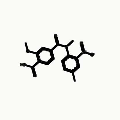 COc1cc(C(=O)N(C)c2ccc(C)cc2[N+](=O)[O-])ccc1C(=O)O